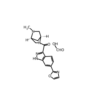 CN1C[C@@H]2C[C@H]1CN2C(=O)c1n[nH]c2cc(-c3ncco3)ccc12.O=CO